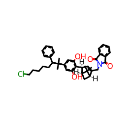 CC(C)(c1cc(O)c([C@H]2C=C(CN3C(=O)c4ccccc4C3=O)[C@H]3C[C@@H]2C3(C)C)c(O)c1)C(CCCCCCl)c1ccccc1